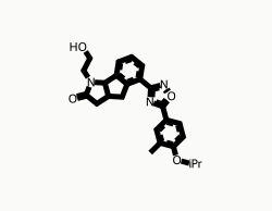 Cc1cc(-c2nc(-c3cccc4c3CC3CC(=O)N(CCO)C43)no2)ccc1OC(C)C